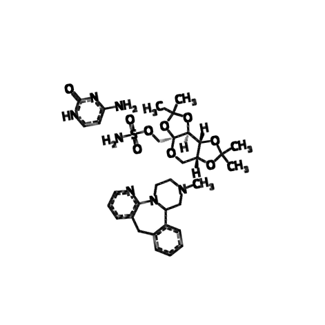 CC1(C)O[C@@H]2[C@@H](CO[C@@]3(COS(N)(=O)=O)OC(C)(C)O[C@@H]23)O1.CN1CCN2c3ncccc3Cc3ccccc3C2C1.Nc1cc[nH]c(=O)n1